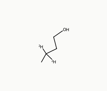 [2H]C([2H])(C)CCO